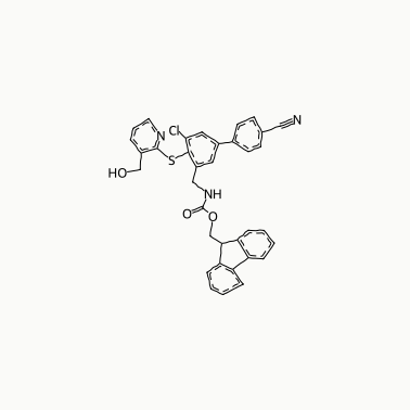 N#Cc1ccc(-c2cc(Cl)c(Sc3ncccc3CO)c(CNC(=O)OCC3c4ccccc4-c4ccccc43)c2)cc1